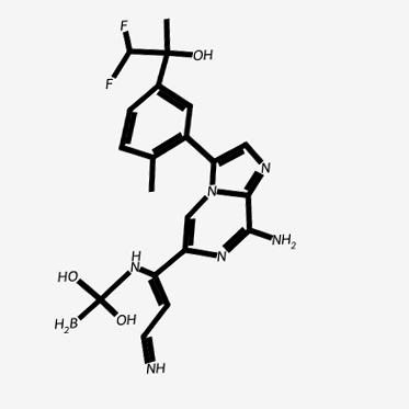 BC(O)(O)N/C(=C\C=N)c1cn2c(-c3cc(C(C)(O)C(F)F)ccc3C)cnc2c(N)n1